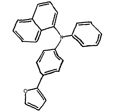 c1ccc(N(c2ccc(-c3ccco3)cc2)c2cccc3ccccc23)cc1